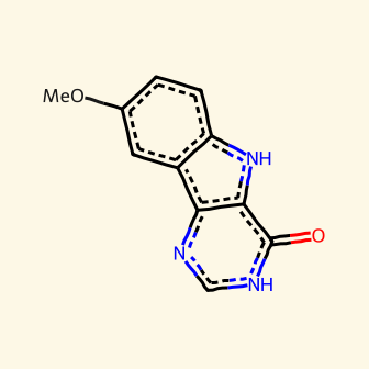 COc1ccc2[nH]c3c(=O)[nH]cnc3c2c1